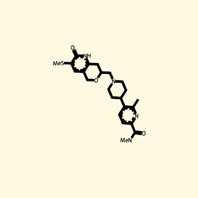 CNC(=O)c1ccc(C2CCN(CC3Cc4[nH]c(=O)c(SC)cc4CO3)CC2)c(C)n1